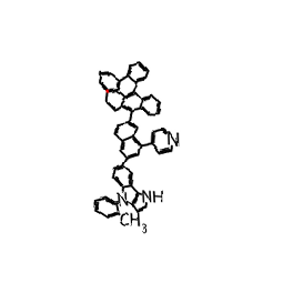 Cc1ccccc1-n1c2ccc(-c3cc(-c4ccncc4)c4cc(-c5c6ccccc6c(-c6ccccc6-c6ccccc6)c6ccccc56)ccc4c3)cc2c2[nH]ccc21